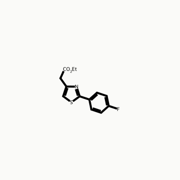 CCOC(=O)Cc1csc(-c2ccc(F)cc2)n1